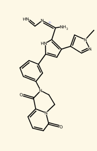 Cn1cc(-c2cc(-c3cccc(N4CCn5c(cccc5=O)C4=O)c3)[nH]c2/C(N)=N\C=N)cn1